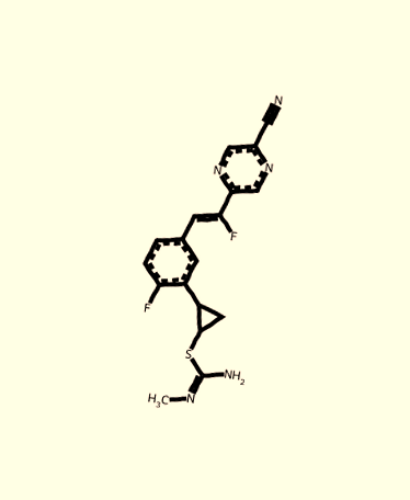 C/N=C(/N)SC1CC1c1cc(/C=C(\F)c2cnc(C#N)cn2)ccc1F